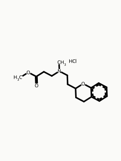 COC(=O)CCN(C)CCC1CCc2ccccc2O1.Cl